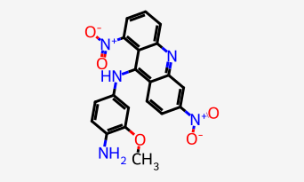 COc1cc(Nc2c3ccc([N+](=O)[O-])cc3nc3cccc([N+](=O)[O-])c23)ccc1N